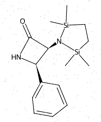 C[Si]1(C)CC[Si](C)(C)N1[C@@H]1C(=O)N[C@@H]1c1ccccc1